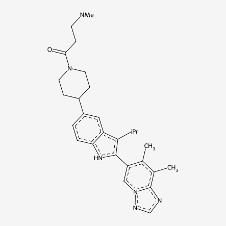 CNCCC(=O)N1CCC(c2ccc3[nH]c(-c4cn5ncnc5c(C)c4C)c(C(C)C)c3c2)CC1